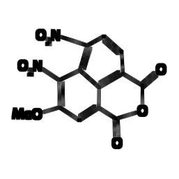 COc1cc2c3c(ccc([N+](=O)[O-])c3c1[N+](=O)[O-])C(=O)OC2=O